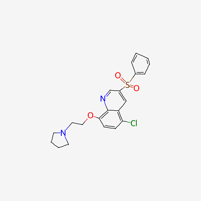 O=S(=O)(c1ccccc1)c1cnc2c(OCCN3CCCC3)ccc(Cl)c2c1